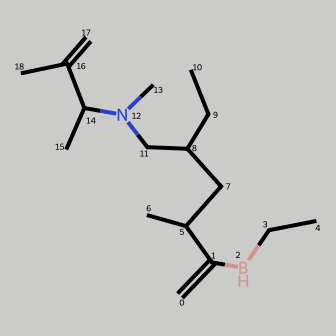 C=C(BCC)C(C)CC(CC)CN(C)C(C)C(=C)C